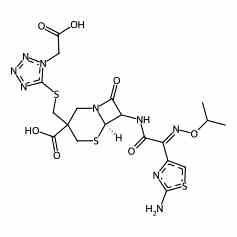 CC(C)ON=C(C(=O)NC1C(=O)N2CC(CSc3nnnn3CC(=O)O)(C(=O)O)CS[C@H]12)c1csc(N)n1